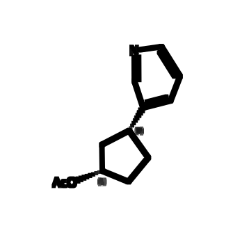 CC(=O)O[C@H]1CC[C@@H](c2cccnc2)C1